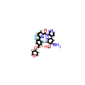 C[C@H]1C[C@@H](c2ccncc2NC(=O)c2ccc(F)c(-c3c(F)cc(COC4CCOCC4)cc3F)n2)C[C@@H](N)[C@@H]1O